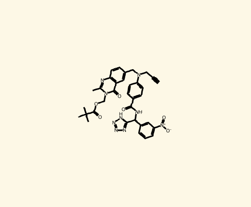 C#CCN(Cc1ccc2nc(C)n(COC(=O)C(C)(C)C)c(=O)c2c1)c1ccc(C(=O)NC(c2cccc([N+](=O)[O-])c2)c2nnn[nH]2)cc1